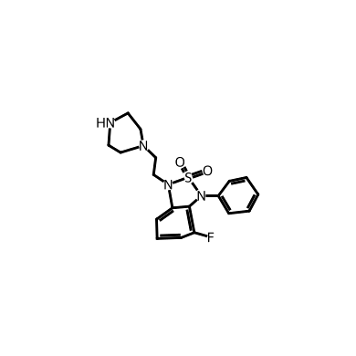 O=S1(=O)N(CCN2CCNCC2)c2cccc(F)c2N1c1ccccc1